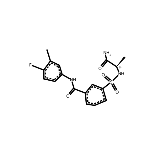 Cc1cc(NC(=O)c2cccc(S(=O)(=O)N[C@H](C)C(N)=O)c2)ccc1F